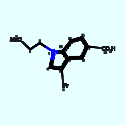 COCCn1cc(C(C)C)c2cc(C(=O)O)ccc21